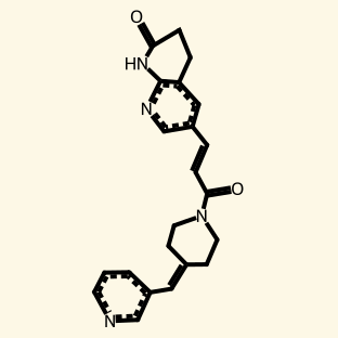 O=C1CCc2cc(/C=C/C(=O)N3CCC(=Cc4cccnc4)CC3)cnc2N1